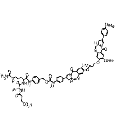 COc1ccc(C2=CN3C(=O)c4cc(OC)c(OCCCOc5cc6c(cc5OC)C(=O)N5C=C(c7ccc(NC(=O)OCc8ccc(NC(=O)[C@H](CCCNC(N)=O)NC(=O)[C@@H](NC(=O)CCC(=O)O)C(C)C)cc8)cc7)C[C@H]5C=N6)cc4N=C[C@@H]3C2)cc1